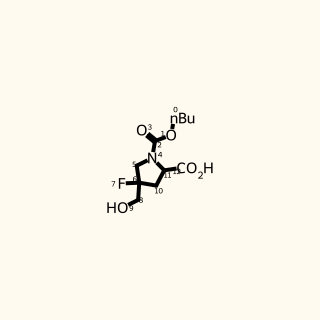 CCCCOC(=O)N1CC(F)(CO)CC1C(=O)O